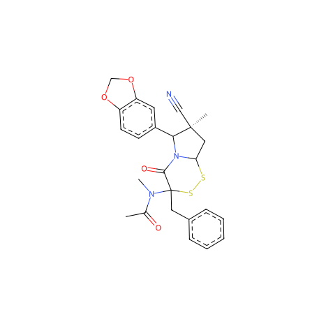 CC(=O)N(C)C1(Cc2ccccc2)SSC2C[C@](C)(C#N)C(c3ccc4c(c3)OCO4)N2C1=O